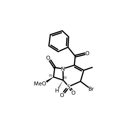 CO[C@H]1C(=O)N2C(C(=O)c3ccccc3)=C(C)C(Br)S(=O)(=O)[C@@H]12